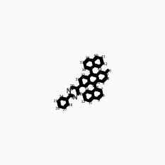 Cc1ccc2c(-c3cccc4ccccc34)c3cc(-c4cnc(-c5ccccc5)nc4)ccc3c(-c3cccc4ccccc34)c2c1